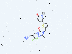 CCn1cc(-c2ccc(Cn3c(C)nn(CC(CN)=C(F)F)c3=O)s2)ccc1=O